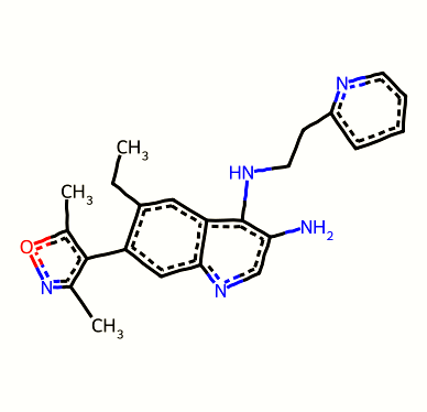 CCc1cc2c(NCCc3ccccn3)c(N)cnc2cc1-c1c(C)noc1C